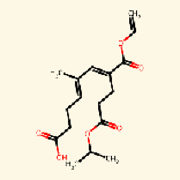 C=COC(=O)C(=CC(C)=CCCC(=O)O)CCC(=O)OC(C)C